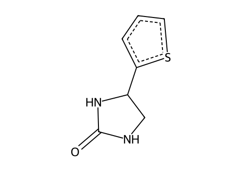 O=C1NCC(c2cccs2)N1